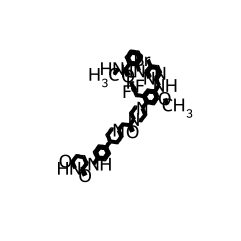 CNC(=O)c1ccccc1Nc1nc(Nc2cc(CC(F)(F)F)c(N3CCN(C(=O)CN4CCC(c5ccc(NC6CCC(=O)NC6=O)cc5)CC4)CC3)cc2OC)ncc1Br